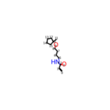 C=CC(=O)NCCCCOC1(C)CCCC1